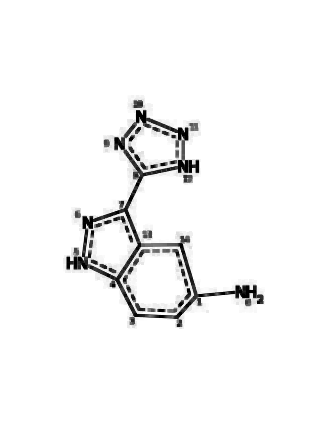 Nc1ccc2[nH]nc(-c3nnn[nH]3)c2c1